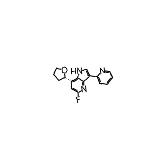 Fc1cc([C@@H]2CCCO2)c2[nH]cc(-c3ccccn3)c2n1